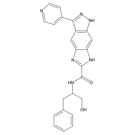 O=C(NC(CO)Cc1ccccc1)c1nc2cc3c(-c4ccncc4)n[nH]c3cc2[nH]1